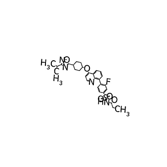 CCC(=O)NS(=O)(=O)c1ccc(-c2cccc3c(OC4CCC(c5nc(C(C)C)no5)CC4)ccnc23)c(F)c1